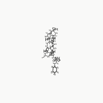 C[C@H]1C[C@H]2O[C@@]34CC[C@H]5[C@@H]6CCC7=C[C@@H](O)CC[C@]7(C)[C@H]6CC56CC63C[C@@H]4[C@@H]2N(CCNS(=O)(=O)CCc2ccccc2)C1